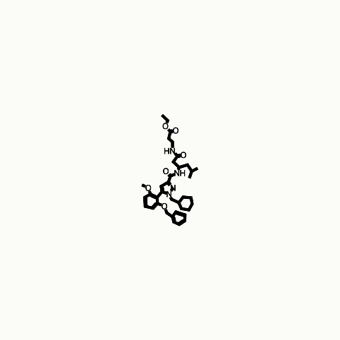 CCOC(=O)CCNC(=O)CC(CC(C)C)NC(=O)c1cc(-c2c(OC)cccc2OCc2ccccc2)n(CC2CCCCC2)n1